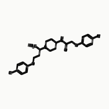 O=C(COc1ccc(Cl)cc1)NC1CCN(C(CCOc2ccc(Cl)cc2)C(=O)O)CC1